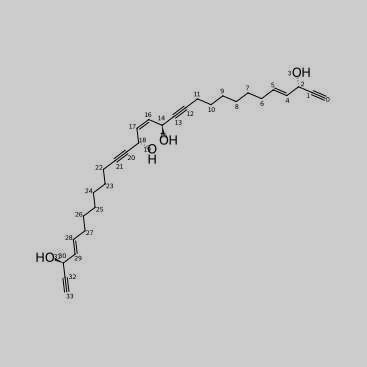 C#C[C@@H](O)/C=C/CCCCCCC#C[C@@H](O)/C=C\[C@H](O)C#CCCCCCC/C=C/[C@H](O)C#C